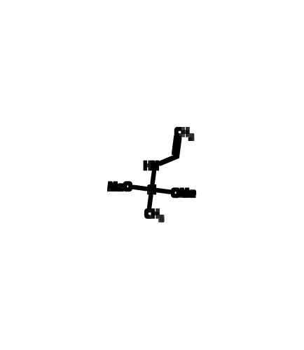 C=CN[Si](C)(OC)OC